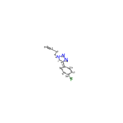 C#CCCn1cc(-c2ccc(F)cc2)nn1